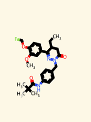 CCC1CC(=O)N(Cc2ccc(NC(=O)C(C)(C)C)cc2)N=C1c1ccc(OCF)c(OC)c1